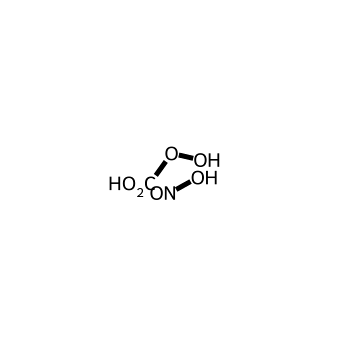 O=C(O)OO.O=NO